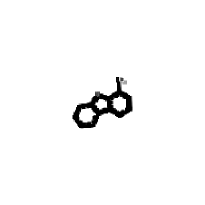 FC(F)(F)c1cccc2c1oc1ccccc12